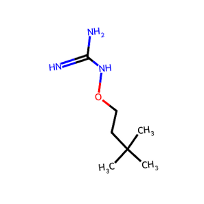 CC(C)(C)CCONC(=N)N